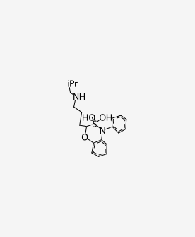 CC(C)CNCCCC1Oc2ccccc2N(c2ccccc2)S1(O)O